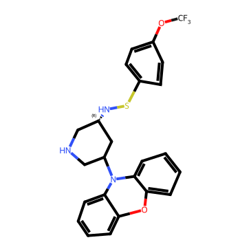 FC(F)(F)Oc1ccc(SN[C@H]2CNCC(N3c4ccccc4Oc4ccccc43)C2)cc1